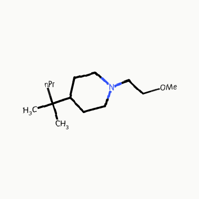 CCCC(C)(C)C1CCN(CCOC)CC1